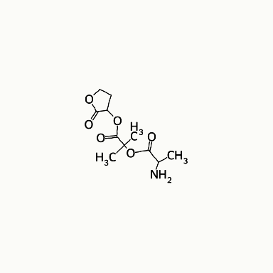 CC(N)C(=O)OC(C)(C)C(=O)OC1CCOC1=O